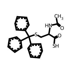 CC(=O)NC(CSC(c1ccccc1)(c1ccccc1)c1ccccc1)C(=O)S